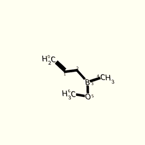 C=CCB(C)OC